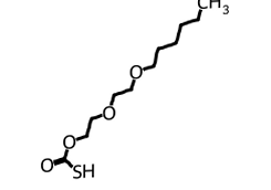 CCCCCCOCCOCCOC(=O)S